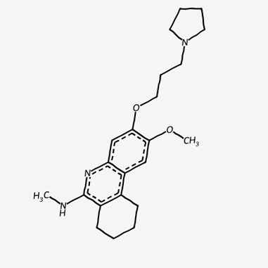 CNc1nc2cc(OCCCN3CCCC3)c(OC)cc2c2c1CCCC2